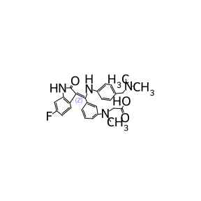 CN(C)Cc1ccc(N/C(=C2\C(=O)Nc3cc(F)ccc32)c2cccc(N(C)CC(=O)O)c2)cc1